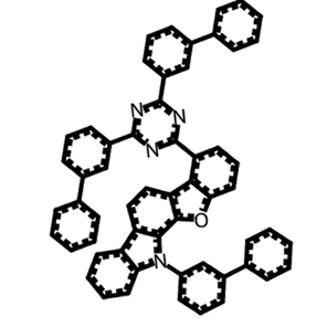 c1ccc(-c2cccc(-c3nc(-c4cccc(-c5ccccc5)c4)nc(-c4cccc5oc6c(ccc7c8ccccc8n(-c8cccc(-c9ccccc9)c8)c76)c45)n3)c2)cc1